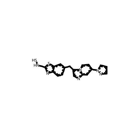 SNc1nc2ccc(Cc3cnc4cc(-n5cccn5)ccn34)cc2s1